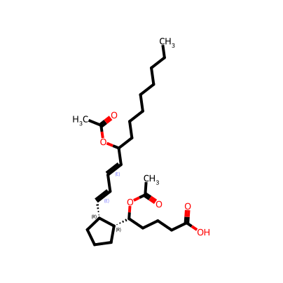 CCCCCCCCC(/C=C/C=C/[C@H]1CCC[C@H]1C(CCCC(=O)O)OC(C)=O)OC(C)=O